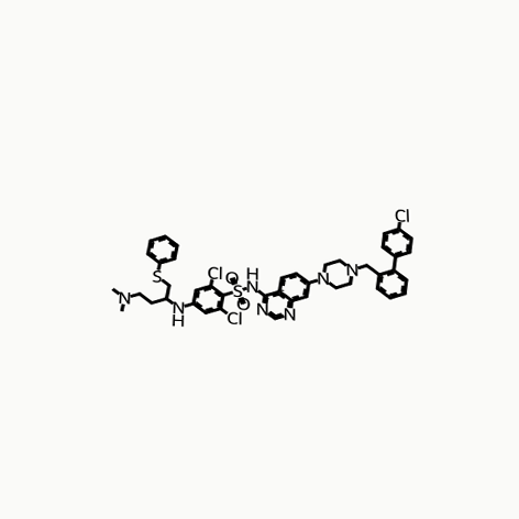 CN(C)CCC(CSc1ccccc1)Nc1cc(Cl)c(S(=O)(=O)Nc2ncnc3cc(N4CCN(Cc5ccccc5-c5ccc(Cl)cc5)CC4)ccc23)c(Cl)c1